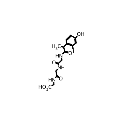 CC(C(=O)NCC(=O)NCC(=O)NCC(=O)O)c1ccc(O)cc1I